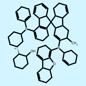 CC1CC2C3C=CCCC3C3(C4=C(C(N(C5=CCCC=C5)C5CCC[C@@H](C6CCCCC6O)C5)=CCC4)C4C=CC=CC43)C2C=C1N(C1=C2OC3CCC=CC3C2=CCC1)C1C=CCCC1